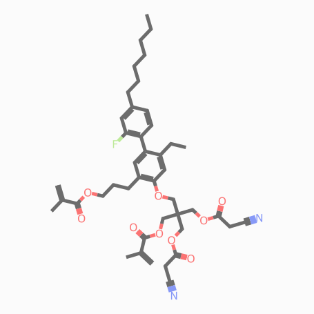 C=C(C)C(=O)OCCCc1cc(-c2ccc(CCCCCCC)cc2F)c(CC)cc1OCC(COC(=O)CC#N)(COC(=O)CC#N)COC(=O)C(=C)C